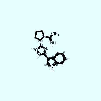 N=C(N)N1CCC[C@H]1c1nc(-c2c[nH]c3ccccc23)no1